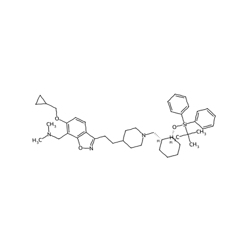 CN(C)Cc1c(OCC2CC2)ccc2c(CCC3CCN(C[C@H]4CCCC[C@H]4O[Si](c4ccccc4)(c4ccccc4)C(C)(C)C)CC3)noc12